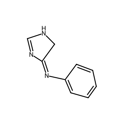 C1=N/C(=N/c2ccccc2)CN1